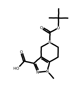 Cn1nc(C(=O)O)c2c1CCN(C(=O)OC(C)(C)C)C2